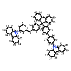 C\C=C/C(=C\C=C\c1ccc(C2(c3ccc(-c4ccc(-n5c6ccccc6c6ccccc65)cc4)cc3)c3ccccc3-c3ccccc32)cc1)n1c2ccccc2c2ccccc21